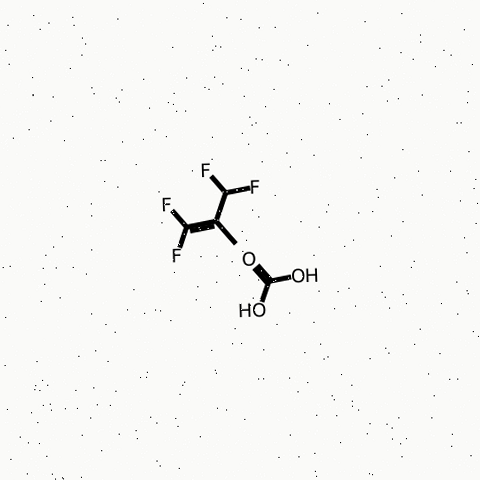 CC(=C(F)F)C(F)F.O=C(O)O